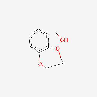 CO.c1ccc2c(c1)OCCO2